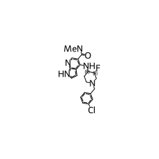 CNC(=O)c1cnc2[nH]ccc2c1N[C@@H]1CCN(Cc2cccc(Cl)c2)C[C@H]1F